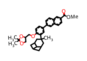 COC(=O)c1ccc2cc(-c3ccc(OCC4COC(C)(C)O4)c(C4(C)CC5CC6CC(C4)C65)c3)ccc2c1